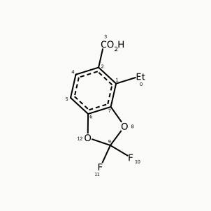 CCc1c(C(=O)O)ccc2c1OC(F)(F)O2